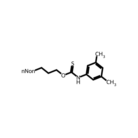 CCCCCCCCCCCCOC(=S)Nc1cc(C)cc(C)c1